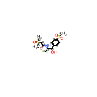 CS(=O)(=O)c1ccc([C@@H](O)[C@@H](CF)NC(=O)C[SH](C)(C)=O)cc1